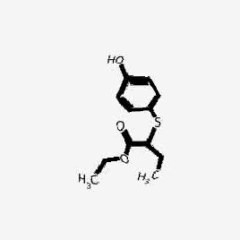 CCOC(=O)C(CC)Sc1ccc(O)cc1